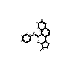 CC1=CCC(c2ccc3ccccc3c2/C=N/c2ccccc2)=C1C